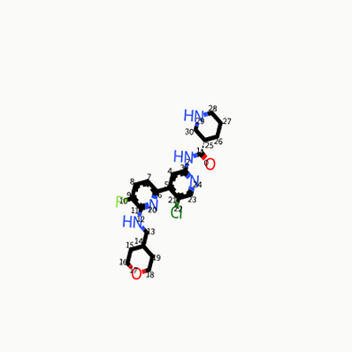 O=C(Nc1cc(-c2ccc(F)c(NCC3CCOCC3)n2)c(Cl)cn1)[C@H]1CCCNC1